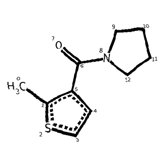 Cc1sccc1C(=O)N1CCCC1